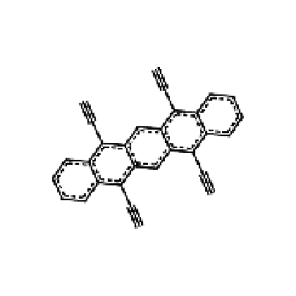 C#Cc1c2ccccc2c(C#C)c2cc3c(C#C)c4ccccc4c(C#C)c3cc12